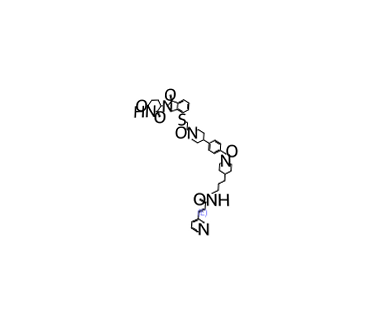 O=C(/C=C/c1cccnc1)NCCCCC1CCN(C(=O)c2ccc(C3CCN(C(=O)CSc4cccc5c4CN(C4CCC(=O)NC4=O)C5=O)CC3)cc2)CC1